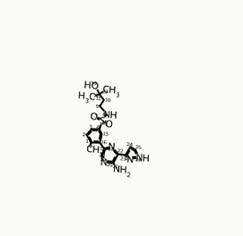 Cc1ccc(S(=O)(=O)NCCC(C)(C)O)cc1-c1cnc(N)c(-c2cc[nH]n2)n1